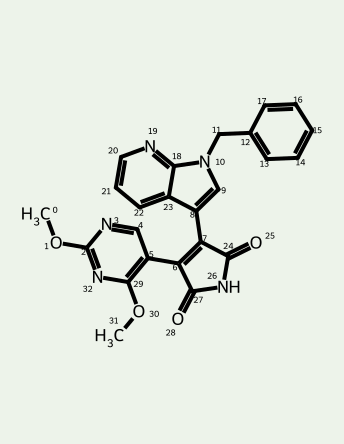 COc1ncc(C2=C(c3cn(Cc4ccccc4)c4ncccc34)C(=O)NC2=O)c(OC)n1